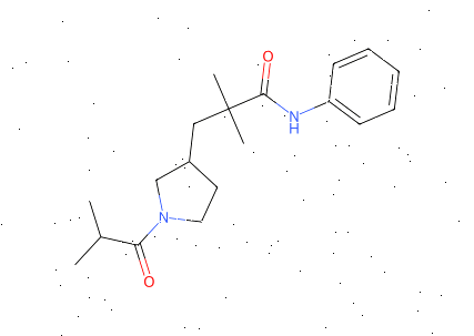 CC(C)C(=O)N1CCC(CC(C)(C)C(=O)Nc2ccccc2)C1